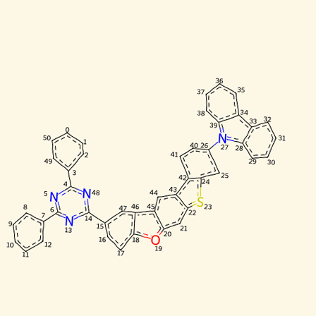 c1ccc(-c2nc(-c3ccccc3)nc(-c3ccc4oc5cc6sc7cc(-n8c9ccccc9c9ccccc98)ccc7c6cc5c4c3)n2)cc1